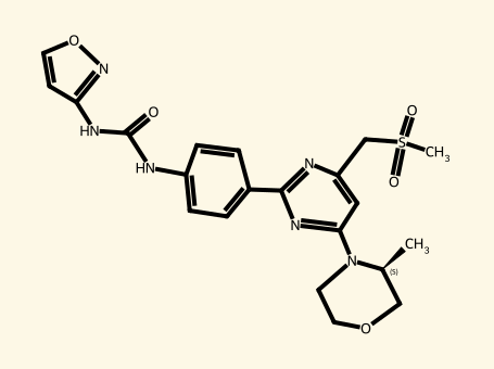 C[C@H]1COCCN1c1cc(CS(C)(=O)=O)nc(-c2ccc(NC(=O)Nc3ccon3)cc2)n1